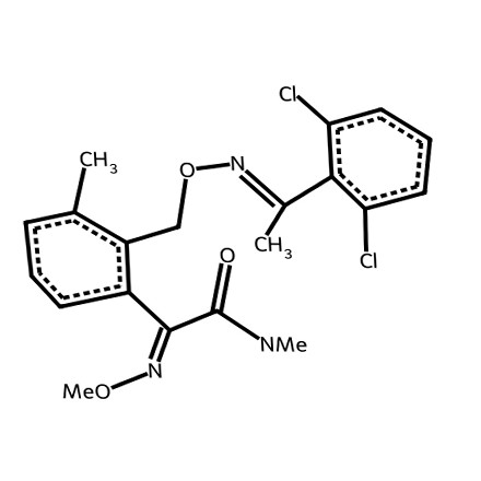 CNC(=O)/C(=N/OC)c1cccc(C)c1CO/N=C(\C)c1c(Cl)cccc1Cl